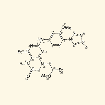 CCc1nc(Nc2ccc(-n3cnc(C)c3)c(OC)c2)nc2c1N(C)C(=O)CN2CC(CC)OC